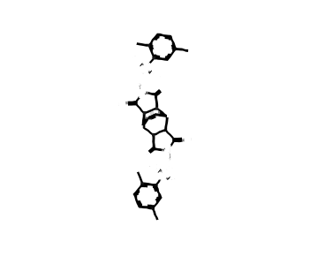 Cc1ccc(C)c(S(=O)(=O)ON2C(=O)C3C4C=CC(C3C2=O)C2C(=O)N(OS(=O)(=O)c3cc(C)ccc3C)C(=O)C42)c1